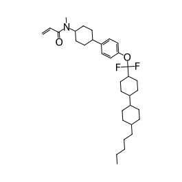 C=CC(=O)N(C)C1CCC(c2ccc(OC(F)(F)C3CCC(C4CCC(CCCCC)CC4)CC3)cc2)CC1